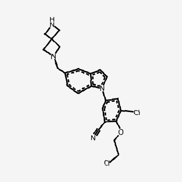 N#Cc1cc(-n2ccc3cc(CN4CC5(CNC5)C4)ccc32)cc(Cl)c1OCCCl